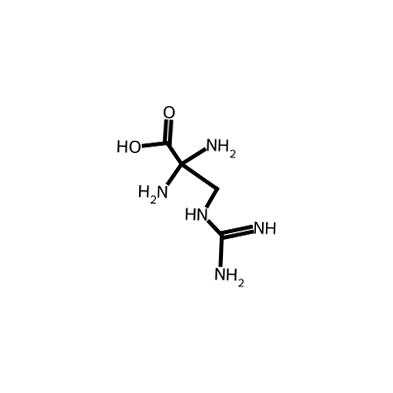 N=C(N)NCC(N)(N)C(=O)O